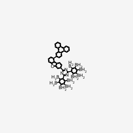 Bc1c(B)c(B)c(-c2nc(-c3ccc4c(c3)oc3cccc(-c5ccc6c7ccccc7c7ccccc7c6c5)c34)nc(-c3c(B)c(B)c(B)c(B)c3B)n2)c(B)c1B